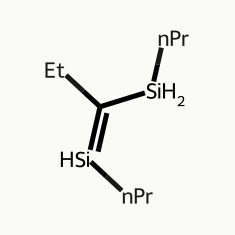 CCC[SiH]=C(CC)[SiH2]CCC